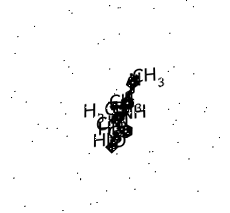 CC(C)Oc1cc(CCC2CCN(C)C2)ccc1Nc1ncc(Cl)c(Nc2ccccc2S(=O)(=O)NC2CCC2)n1